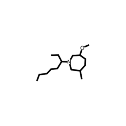 CCCCCC(CC)N1CC(C)CCC(OC)C1